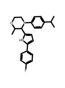 CC(C)c1ccc(N2CCOC(C)C2c2ccc(-c3ccc(F)cc3)[nH]2)cc1